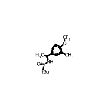 Cc1cc(C(C)N[S+]([O-])C(C)(C)C)ccc1OC(F)(F)F